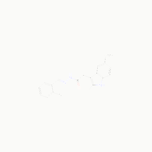 COc1ccc2[nH]c(C)c(CC(=O)N/N=C/c3ccccc3[N+](=O)[O-])c2c1